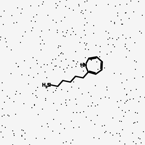 [SiH3]CCCCCC1=CC=CC=CN1